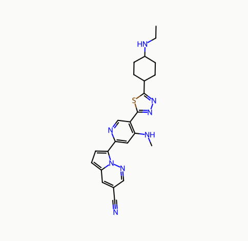 CCNC1CCC(c2nnc(-c3cnc(-c4ccc5cc(C#N)cnn45)cc3NC)s2)CC1